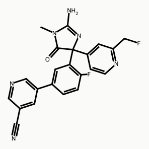 CN1C(=O)C(c2ccnc(CF)c2)(c2cc(-c3cncc(C#N)c3)ccc2F)N=C1N